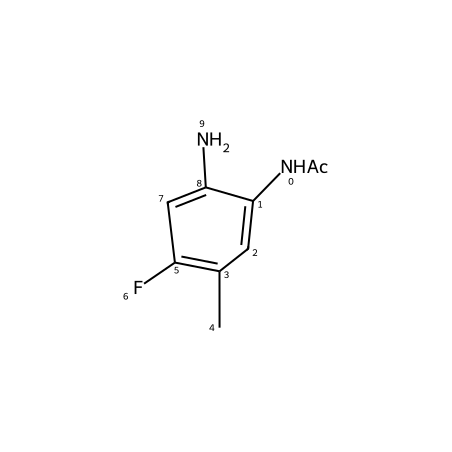 CC(=O)Nc1cc(C)c(F)cc1N